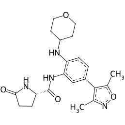 Cc1noc(C)c1-c1ccc(NC2CCOCC2)c(NC(=O)[C@@H]2CCC(=O)N2)c1